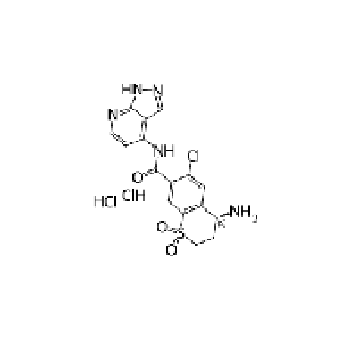 Cl.Cl.N[C@H]1CCS(=O)(=O)c2cc(C(=O)Nc3ccnc4[nH]ncc34)c(Cl)cc21